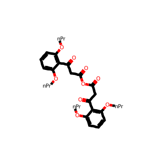 CCCOc1cccc(OCCC)c1C(=O)CC(=O)OC(=O)CC(=O)c1c(OCCC)cccc1OCCC